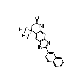 CC1(C)CC(=O)Nc2cc3nc(-c4ccc5ccccc5c4)[nH]c3cc21